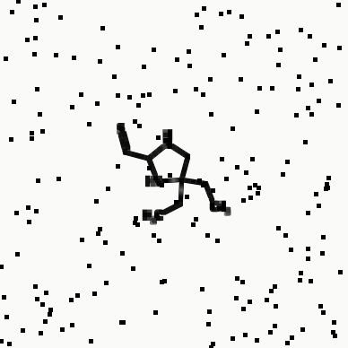 CCC1(CC)CNC(C=S)N1